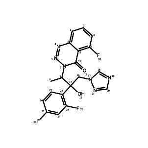 CC(n1nnc2cccc(F)c2c1=O)C(O)(Cn1cncn1)c1ccc(F)cc1F